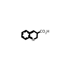 O=C(O)C1C=c2ccccc2=NC1